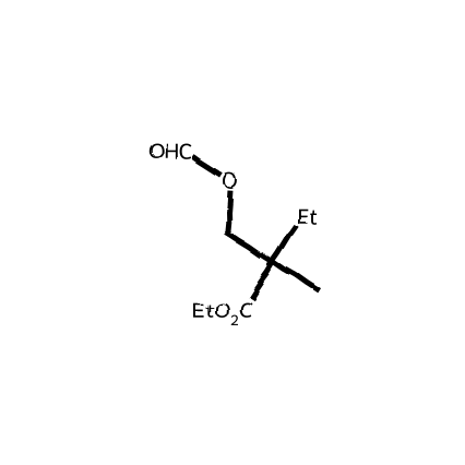 CCOC(=O)C(C)(CC)COC=O